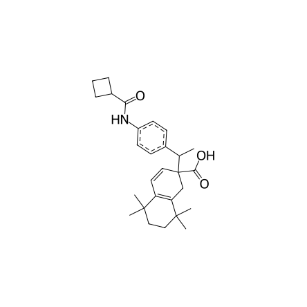 CC(c1ccc(NC(=O)C2CCC2)cc1)C1(C(=O)O)C=CC2=C(C1)C(C)(C)CCC2(C)C